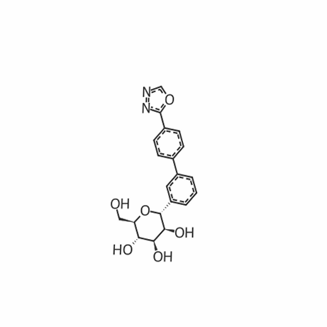 OC[C@H]1O[C@H](c2cccc(-c3ccc(-c4nnco4)cc3)c2)[C@@H](O)[C@@H](O)[C@@H]1O